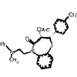 CC(=O)O[C@H]1C(=O)N(CCN(C)C(C)C)c2ccccc2S[C@H]1c1ccc(C)cc1